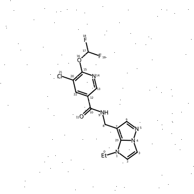 CCn1ccn2ncc(CNC(=O)c3cnc(OC(F)F)c(Cl)c3)c12